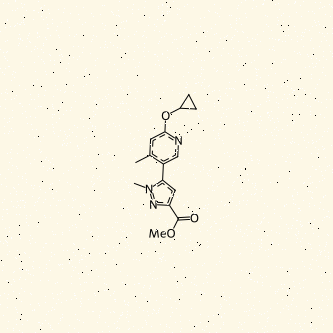 COC(=O)c1cc(-c2cnc(OC3CC3)cc2C)n(C)n1